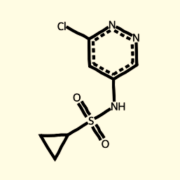 O=S(=O)(Nc1cnnc(Cl)c1)C1CC1